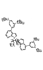 [CH2]=[Hf]([CH3])([CH3])([CH2]C)([CH2]C)([CH]1C=Cc2c(-c3cc(C(C)(C)C)cc(C(C)(C)C)c3)cccc21)[CH]1C=Cc2c(-c3cc(C(C)(C)C)cc(C(C)(C)C)c3)cccc21